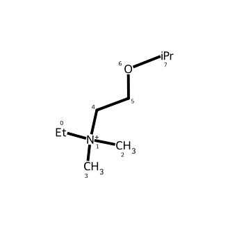 CC[N+](C)(C)CCOC(C)C